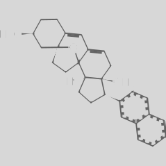 C[C@H]1CCC2=CC3=CC[C@]4(C)[C@@H](c5ccc6ccccc6c5)CC[C@H]4C34CC[C@]2(C1)O4